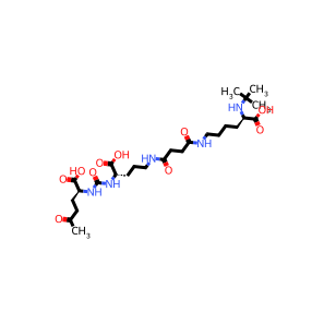 CC(=O)CC[C@H](NC(=O)N[C@@H](CCCNC(=O)CCC(=O)NCCCC[C@@H](NC(C)(C)C)C(=O)O)C(=O)O)C(=O)O